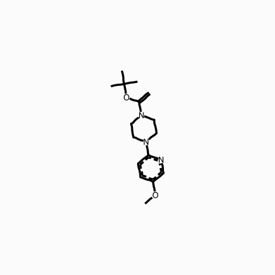 C=C(OC(C)(C)C)N1CCN(c2ccc(OC)cn2)CC1